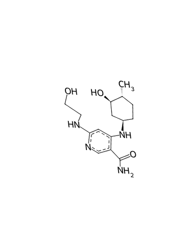 C[C@@H]1CC[C@@H](Nc2cc(NCCO)ncc2C(N)=O)C[C@H]1O